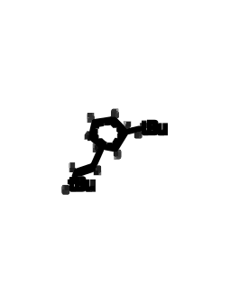 CC(C)(C)C=Cc1cccc(C(C)(C)C)c1